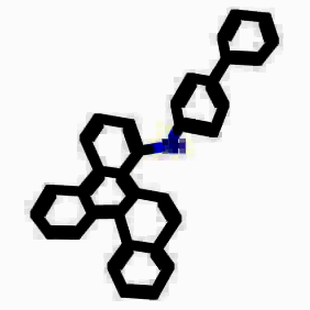 c1ccc(-c2ccc(Nc3cccc4c5ccccc5c5c6ccccc6ccc5c34)cc2)cc1